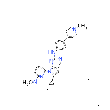 C=Nc1cccc(-n2c(C3CC3)cc3cnc(Nc4ccc(C5=CCN(C)CC5)cc4)nc32)n1